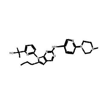 CCCc1cc2cnc(Nc3ccc(N4CCN(C)CC4)nc3)nc2n1-c1cccc(C(C)(C)O)n1